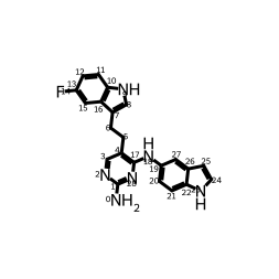 Nc1ncc(CCc2c[nH]c3ccc(F)cc23)c(Nc2ccc3[nH]ccc3c2)n1